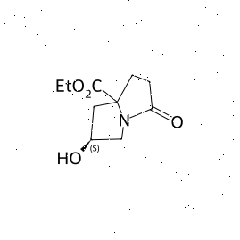 CCOC(=O)C12CCC(=O)N1C[C@@H](O)C2